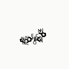 Cn1ncc2c(-n3ncc(C(=O)Nc4cnc(-n5nccn5)c(C#N)c4)c3C(F)(F)F)cccc21